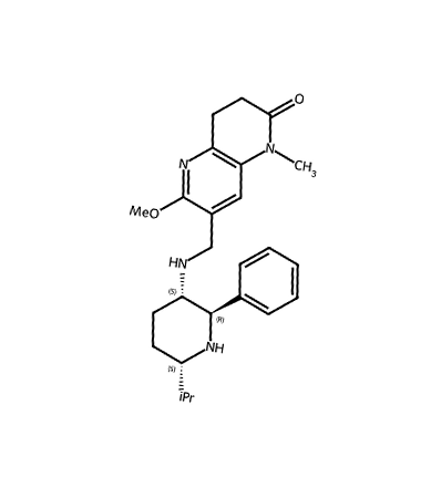 COc1nc2c(cc1CN[C@H]1CC[C@@H](C(C)C)N[C@@H]1c1ccccc1)N(C)C(=O)CC2